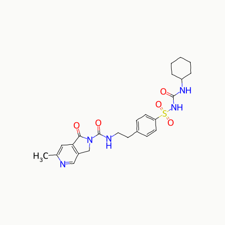 Cc1cc2c(cn1)CN(C(=O)NCCc1ccc(S(=O)(=O)NC(=O)NC3CCCCC3)cc1)C2=O